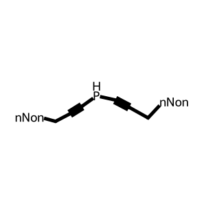 CCCCCCCCCCC#CPC#CCCCCCCCCCC